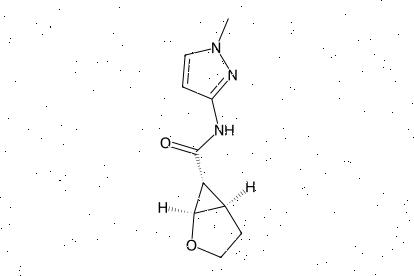 Cn1ccc(NC(=O)[C@@H]2[C@H]3CCO[C@H]32)n1